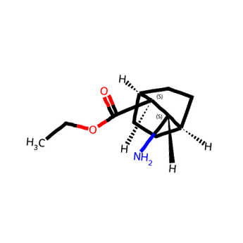 CCOC(=O)[C@H]1[C@H]2CC[C@H](CC2)[C@@H]1N